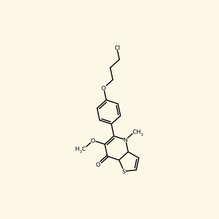 COC1=C(c2ccc(OCCCCl)cc2)N(C)C2C=CSC2C1=O